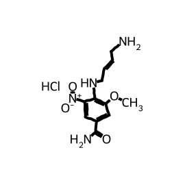 COc1cc(C(N)=O)cc([N+](=O)[O-])c1NCC=CCN.Cl